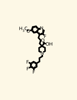 COc1ccc2ncc(F)c(CCCC3(C(=O)O)CCN(CCCc4cc(F)c(F)c(F)c4)CC3)c2c1